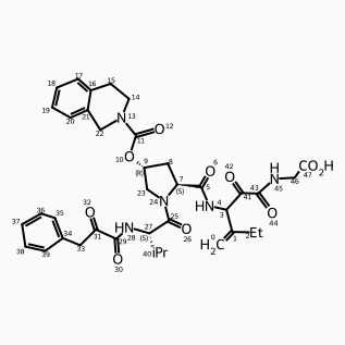 C=C(CC)C(NC(=O)[C@@H]1C[C@@H](OC(=O)N2CCc3ccccc3C2)CN1C(=O)[C@@H](NC(=O)C(=O)Cc1ccccc1)C(C)C)C(=O)C(=O)NCC(=O)O